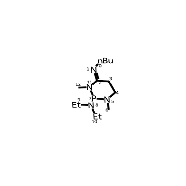 CCCCN=C1CCN(C)P(N(CC)CC)N1C